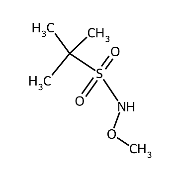 CONS(=O)(=O)C(C)(C)C